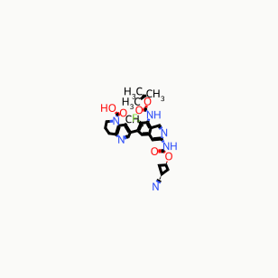 Cc1c(-c2cc3cc(NC(=O)O[C@H]4C[C@@H](C#N)C4)ncc3c(NC(=O)OC(C)(C)C)c2F)cnc2c1N(C(=O)O)CCC2